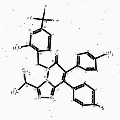 Cc1ccc(-c2c(-c3ccc(Cl)cc3)c3nnc(C(C)N)n3n(Cc3ccc(C(F)(F)F)nc3C)c2=O)cc1